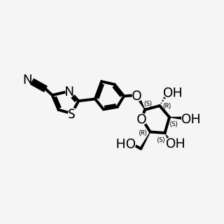 N#Cc1csc(-c2ccc(O[C@@H]3O[C@H](CO)[C@@H](O)[C@H](O)[C@H]3O)cc2)n1